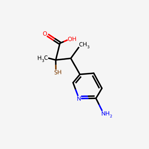 CC(c1ccc(N)nc1)C(C)(S)C(=O)O